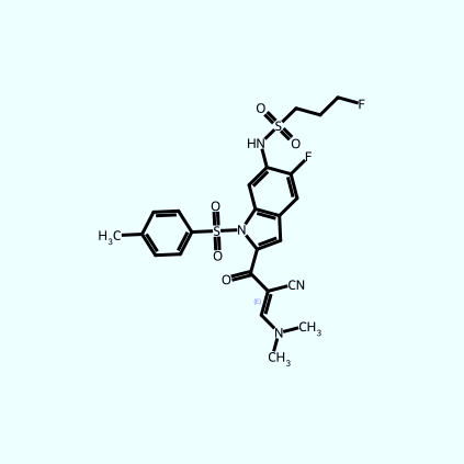 Cc1ccc(S(=O)(=O)n2c(C(=O)/C(C#N)=C/N(C)C)cc3cc(F)c(NS(=O)(=O)CCCF)cc32)cc1